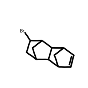 BrC1CC2CC1C1C3C=CC(C3)C21